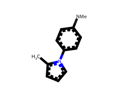 CNc1ccc(-n2cccc2C)cc1